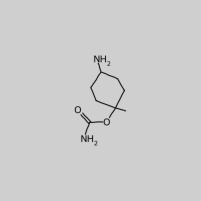 CC1(OC(N)=O)CCC(N)CC1